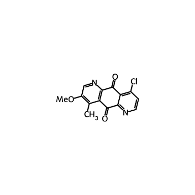 COc1cnc2c(c1C)C(=O)c1nccc(Cl)c1C2=O